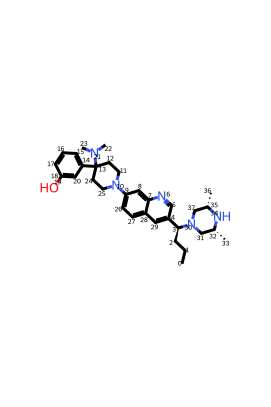 CCC[C@@H](c1cnc2cc(N3CCC(c4cccc(O)c4)(N(C)C)CC3)ccc2c1)N1C[C@@H](C)N[C@@H](C)C1